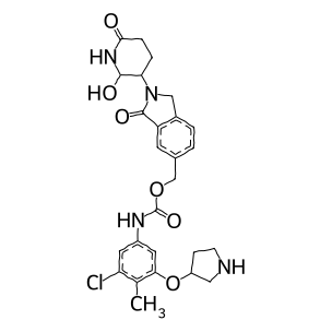 Cc1c(Cl)cc(NC(=O)OCc2ccc3c(c2)C(=O)N(C2CCC(=O)NC2O)C3)cc1OC1CCNC1